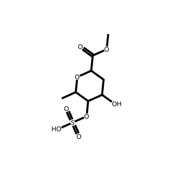 COC(=O)C1CC(O)C(OS(=O)(=O)O)C(C)O1